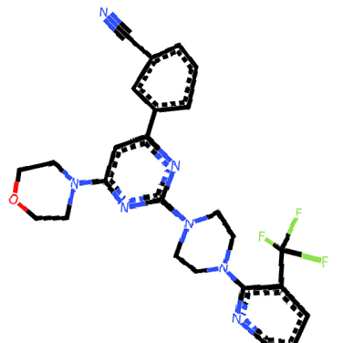 N#Cc1cccc(-c2cc(N3CCOCC3)nc(N3CCN(c4ncccc4C(F)(F)F)CC3)n2)c1